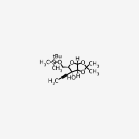 CC#C[C@@]1(O)[C@@H](CO[Si](C)(C)C(C)(C)C)O[C@@H]2OC(C)(C)O[C@@H]21